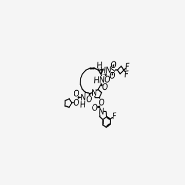 O=C(N[C@H]1CCCCC/C=C\[C@@H]2C[C@@]2(C(=O)NS(=O)(=O)C2CC(F)(F)C2)NC(=O)C2C[C@@H](OC(=O)N3Cc4cccc(F)c4C3)CN2C1=O)OC1CCCC1